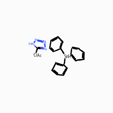 CC(=O)Oc1nnn[nH]1.c1cc[c]([SnH]([c]2ccccc2)[c]2ccccc2)cc1